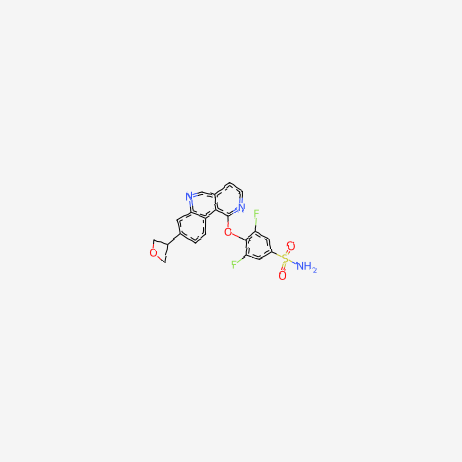 NS(=O)(=O)c1cc(F)c(Oc2nccc3cnc4cc(C5COC5)ccc4c23)c(F)c1